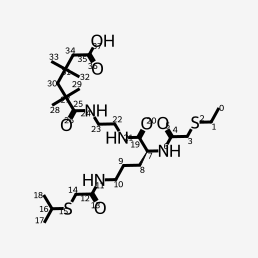 CCSCC(=O)N[C@@H](CCCNC(=O)CSC(C)C)C(=O)NCCNC(=O)C(C)(C)CC(C)(C)CC(=O)O